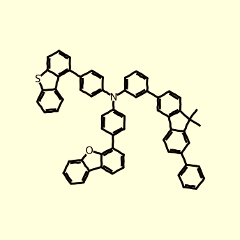 CC1(C)c2ccc(-c3cccc(N(c4ccc(-c5cccc6c5oc5ccccc56)cc4)c4ccc(-c5cccc6sc7ccccc7c56)cc4)c3)cc2-c2ccc(-c3ccccc3)cc21